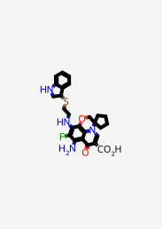 Nc1c(F)c(NCCSC2CNc3ccccc32)c2c3c1c(=O)c(C(=O)O)cn3C1(CCCC1)CO2